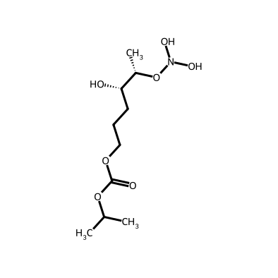 CC(C)OC(=O)OCCC[C@H](O)[C@H](C)ON(O)O